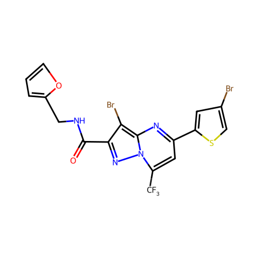 O=C(NCc1ccco1)c1nn2c(C(F)(F)F)cc(-c3cc(Br)cs3)nc2c1Br